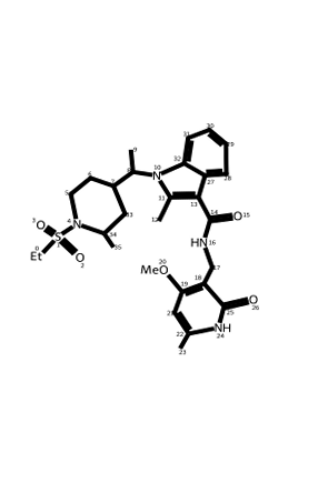 CCS(=O)(=O)N1CCC(C(C)n2c(C)c(C(=O)NCc3c(OC)cc(C)[nH]c3=O)c3ccccc32)CC1C